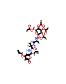 C=CCOc1cc([C@@H](CCC)NC(=O)[C@]2(C)CSC(/C(C)=N/O[C@H]3O[C@H](COC(C)=O)[C@@H](OC(C)=O)[C@H](OC(C)=O)[C@H]3OC(C)=O)=N2)oc(=O)c1